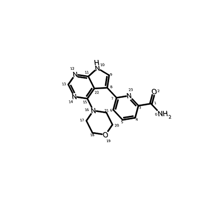 NC(=O)c1cccc(-c2c[nH]c3ncnc(N4CCOCC4)c23)n1